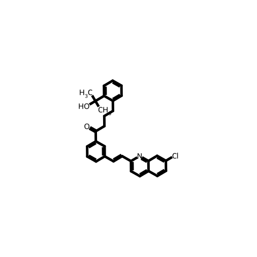 CC(C)(O)c1ccccc1CCCC(=O)c1cccc(/C=C/c2ccc3ccc(Cl)cc3n2)c1